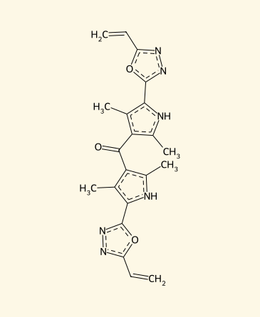 C=Cc1nnc(-c2[nH]c(C)c(C(=O)c3c(C)[nH]c(-c4nnc(C=C)o4)c3C)c2C)o1